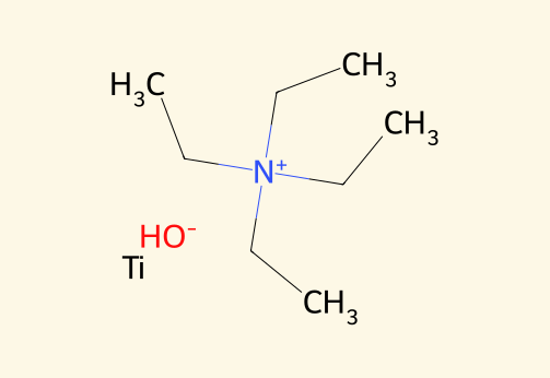 CC[N+](CC)(CC)CC.[OH-].[Ti]